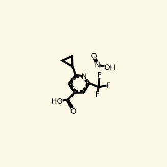 O=C(O)c1cc(C2CC2)nc(C(F)(F)F)c1.O=NO